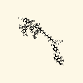 C[C@H]1C[C@@H](OP(=O)(O)OC[C@H]2O[C@@H](C)C[C@H]2OP(=O)(O)OC[C@H]2O[C@@H](C)C[C@H]2OP(=O)(O)OCCC(CCOCCCCC(=O)CCC(NC(=O)c2ccc(NCc3cnc4nc(N)[nH]c(=O)c4n3)cc2)C(=O)O)OP(=O)(O)OCCCS)[C@@H](CO)O1